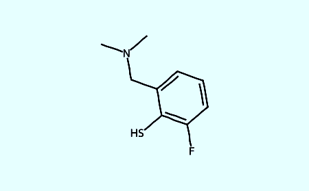 CN(C)Cc1cccc(F)c1S